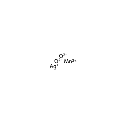 [Ag+].[Mn+2].[O-2].[O-2]